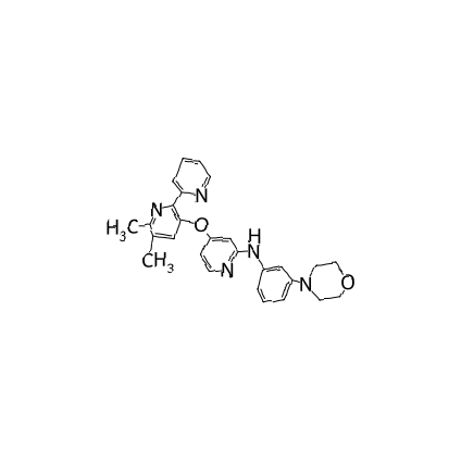 Cc1cc(Oc2ccnc(Nc3cccc(N4CCOCC4)c3)c2)c(-c2ccccn2)nc1C